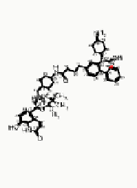 CC(C)(C)[Si](C)(C)O[C@H](CNCC1CCC(NC(=O)CCCc2ccc(-c3ccccc3)c(N(C(=O)O)C3CCC(N)CC3)c2)CC1)c1ccc(O)c2[nH]c(=O)ccc12